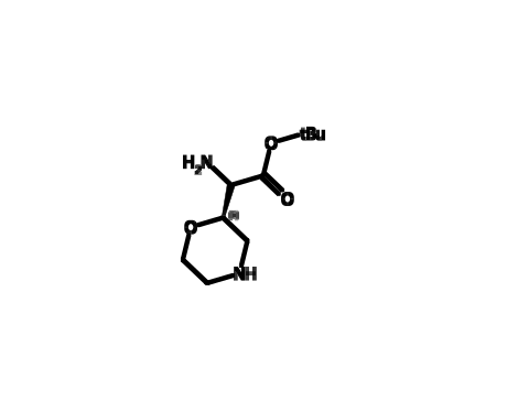 CC(C)(C)OC(=O)C(N)[C@H]1CNCCO1